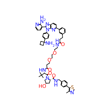 Cc1ncsc1-c1ccc(CNC(=O)[C@@H]2C[C@@H](O)CN2C(=O)[C@@H](NC(=O)CCOCCOCCNC(=O)CCc2cccc(-c3ccc4nc(-c5cccnc5N)n(-c5ccc(C6(N)CCC6)cc5)c4n3)c2)C(C)(C)C)cc1